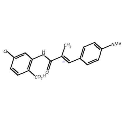 CNc1ccc(/C=C(\C)C(=O)Nc2cc(Cl)ccc2C(=O)O)cc1